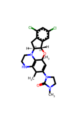 CC1C(N2CCN(C)C2=O)=CC2(C)O[C@H]3c4cc(Cl)cc(Cl)c4C[C@@H]3N3CCNC1=C32